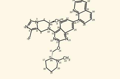 C[C@@H]1Cn2cnc(F)c2CN1c1nc(OC[C@H]2CCCCN2C)nc2cc(-c3cccc4cccnc34)ccc12